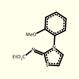 CCOC(=O)/N=c1\sccn1-c1ccccc1OC